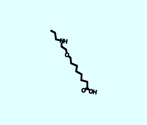 CCCNCCOCCCCCCCC(=O)O